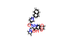 O=C(NC(CN1CCCC1)C(O)c1ccc2c(c1)OCCO2)[C@@H]1CCN(c2ccc3ccccc3c2)C1